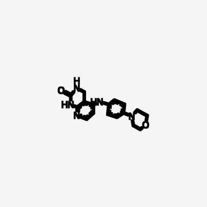 O=C1NCc2c(Nc3ccc(N4CCOCC4)cc3)ccnc2N1